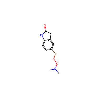 CN(C)OOSc1ccc2c(c1)CC(=O)N2